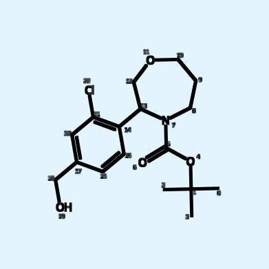 CC(C)(C)OC(=O)N1CCCOCC1c1ccc(CO)cc1Cl